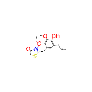 C=CCc1cc(CC2SCC(=O)N2OCC)cc(OC)c1O